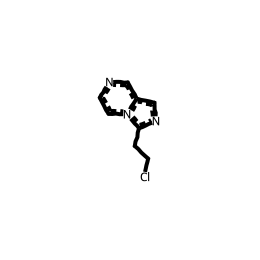 ClCCc1ncc2cnccn12